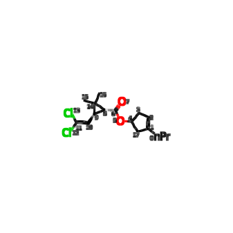 CCCC1=CCC(OC(=O)[C@@H]2[C@@H](C=C(Cl)Cl)C2(C)C)C1